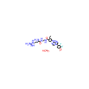 CCc1cc(Nc2nccn3c(-c4ccc(OC)c(F)c4F)cnc23)ccc1C(=O)NCCNC(=O)[C@H](N)CCCNC(=N)N.O=CO